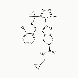 Cc1nnc2n1-c1sc3c(c1C(c1ccccc1Cl)=NC21CC1)C[C@H](C(=O)NCC1CC1)C3